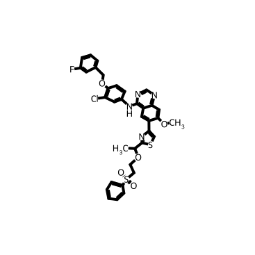 COc1cc2ncnc(Nc3ccc(OCc4cccc(F)c4)c(Cl)c3)c2cc1-c1csc(C(C)OCCS(=O)(=O)c2ccccc2)n1